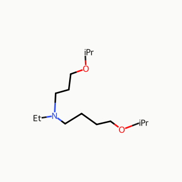 CCN(CCCCOC(C)C)CCCOC(C)C